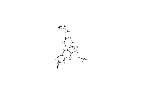 CSCCC1NC2(CCN(SOC(=O)O)CC2)N(Cc2ccc(F)cc2)C1=O